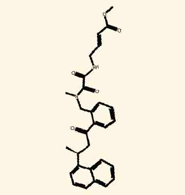 COC(=O)/C=C/CNC(=O)C(=O)N(C)Cc1ccccc1C(=O)C[C@H](C)c1cccc2ccccc12